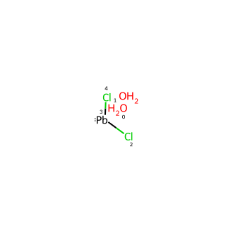 O.O.[Cl][Pb][Cl]